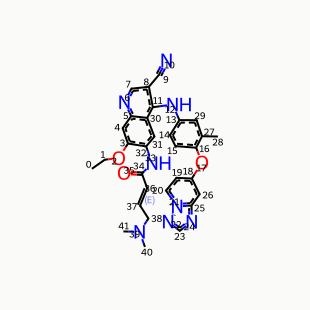 CCOc1cc2ncc(C#N)c(Nc3ccc(Oc4ccn5ncnc5c4)c(C)c3)c2cc1NC(=O)/C=C/CN(C)C